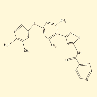 Cc1ccc(Sc2cc(C)c(-c3csc(NC(=O)c4ccncc4)n3)c(C)c2)cc1C